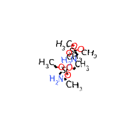 CCO[Si](CN)(OCC)OCC.CO[Si](CN)(OC)OC